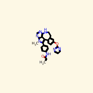 C=CC(=O)Nc1ccc(-c2c3c4c(ncnc4n2C)NCCc2cc(Oc4ncccn4)ccc2-3)cc1